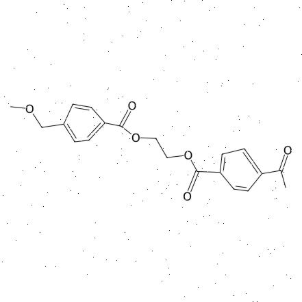 COCc1ccc(C(=O)OCCOC(=O)c2ccc(C(C)=O)cc2)cc1